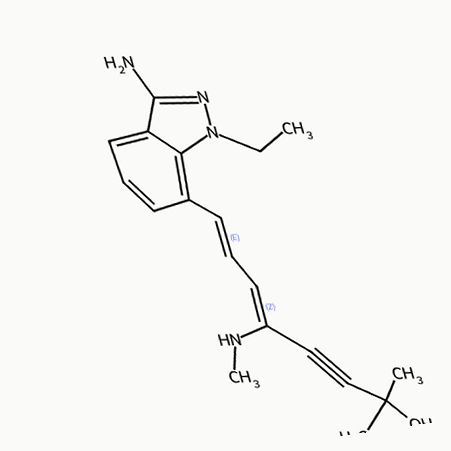 CCn1nc(N)c2cccc(/C=C/C=C(/C#CC(C)(C)O)NC)c21